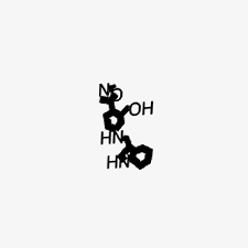 OCc1cc(NCc2c[nH]c3ccccc23)ccc1-c1cnco1